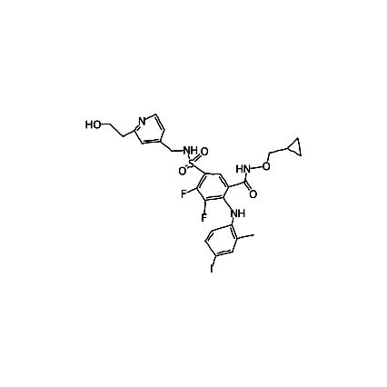 Cc1cc(I)ccc1Nc1c(C(=O)NOCC2CC2)cc(S(=O)(=O)NCc2ccnc(CCO)c2)c(F)c1F